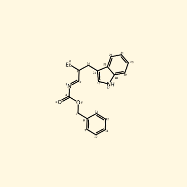 CCC(C=NC(=O)OCc1ccccc1)Cc1c[nH]c2ccccc12